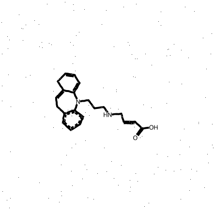 O=C(O)/C=C/CNCCCN1C2=CC=CCC2=CCc2ccccc21